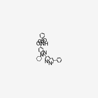 O=C(NS(=O)(=O)c1ccccc1)c1ccc2c(c1)nc(-c1cnc3ncc(-c4ccccc4)cc3c1)n2C1CCCCC1